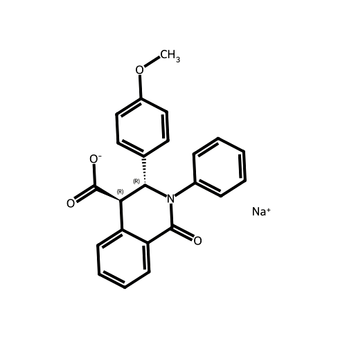 COc1ccc([C@H]2[C@H](C(=O)[O-])c3ccccc3C(=O)N2c2ccccc2)cc1.[Na+]